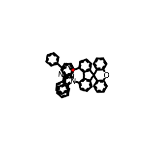 c1ccc(-c2nc(-c3ccccc3)nc(-c3cccc4c3-c3c(-n5c6ccccc6c6ccccc65)cccc3C43c4ccccc4Oc4ccccc43)n2)cc1